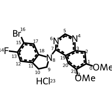 COc1cc2ncnc(N3CCc4cc(F)c(Br)cc43)c2cc1OC.Cl